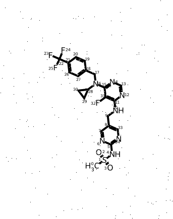 CS(=O)(=O)Nc1ncc(CNc2ncnc(N(Cc3ccc(C(F)(F)F)cc3)C3CC3)c2F)cn1